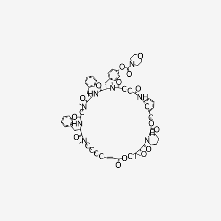 CN1CCCC/C=C/C(=O)OCC(C)(C)C(=O)C(=O)N2CCCC[C@H]2C(=O)OCc2cccc(c2)NC(=O)CCC(=O)N(C)[C@@H](Cc2ccc(OC(=O)N3CCOCC3)cc2)C(=O)N[C@H](Cc2ccccc2)C(=O)N(C)CC(=O)N[C@H](Cc2ccccc2)C1=O